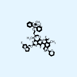 Cc1cc2c(cnn2C2CCCCO2)c(-c2nc3c4c(nc(OC[C@@]56CCCN5C[C@H](F)C6)nc4c2F)N(C)[C@@H](CCO[Si](c2ccccc2)(c2ccccc2)C(C)(C)C)CO3)c1C(F)(F)F